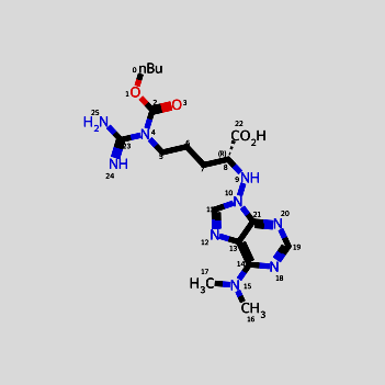 CCCCOC(=O)N(CCC[C@@H](Nn1cnc2c(N(C)C)ncnc21)C(=O)O)C(=N)N